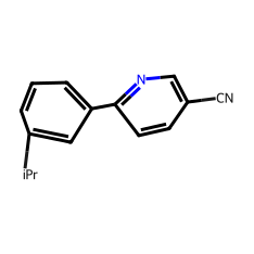 CC(C)c1cccc(-c2ccc(C#N)cn2)c1